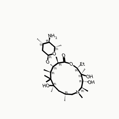 CC[C@H]1OC(=O)[C@H](C)[C@@H](O[C@H]2C[C@H](C)[C@@H](N)[C@H](C)O2)[C@H](C)C(C)(C)[C@](C)(O)C[C@@H](C)CN(C)[C@H](C)[C@@H](O)[C@]1(C)O